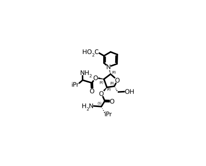 CC(C)C(N)C(=O)O[C@@H]1[C@H](OC(=O)[C@@H](N)C(C)C)[C@@H](CO)O[C@H]1N1C=CCC(C(=O)O)=C1